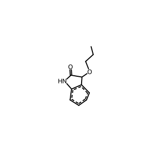 CCCOC1C(=O)Nc2ccccc21